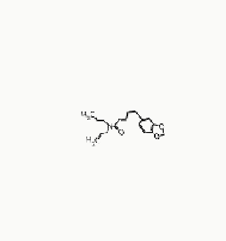 C=CCN(CC=C)C(=O)/C=C/C=C\c1ccc2c(c1)OCO2